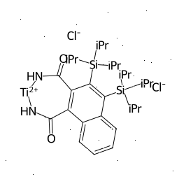 CC(C)[Si](c1c2c(c3ccccc3c1[Si](C(C)C)(C(C)C)C(C)C)C(=O)[NH][Ti+2][NH]C2=O)(C(C)C)C(C)C.[Cl-].[Cl-]